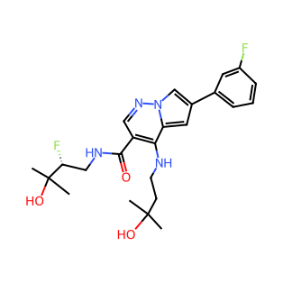 CC(C)(O)CCNc1c(C(=O)NC[C@@H](F)C(C)(C)O)cnn2cc(-c3cccc(F)c3)cc12